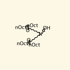 CCCCCCCCN(CCCCCCCC)C(=O)CCCCCCCN(CCCCCCCC(=O)N(CCCCCCCC)CCCCCCCC)CC1CC(O)C1